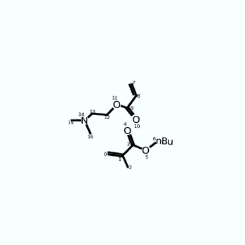 C=C(C)C(=O)OCCCC.C=CC(=O)OCCN(C)C